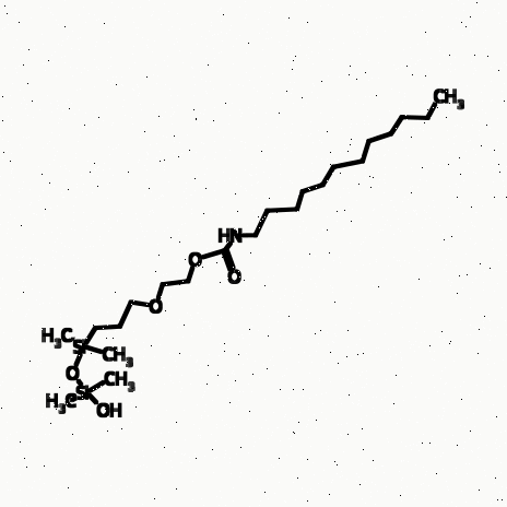 CCCCCCCCCCCCNC(=O)OCCOCCC[Si](C)(C)O[Si](C)(C)O